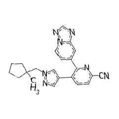 CC1(Cn2cc(-c3ccc(C#N)nc3-c3ccn4ncnc4c3)cn2)CCCC1